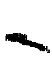 CC(=O)N[C@@H]1[C@@H](O)[C@@H](O)[C@@H](CO)O[C@@H]1CCCCCOCCOCCNC(=O)NCCOCCOCCOCCOCCOCCOc1ccc(N)cn1